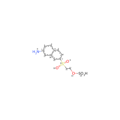 Nc1ccc2ccc(S(=O)(=O)CCOS(=O)(=O)O)cc2c1